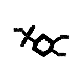 COc1ccc(S(=O)(=O)OC)cc1OC